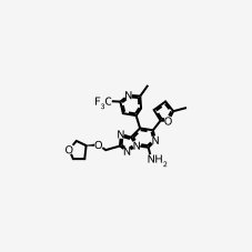 Cc1cc(-c2c(-c3ccc(C)o3)nc(N)n3nc(CO[C@H]4CCOC4)nc23)cc(C(F)(F)F)n1